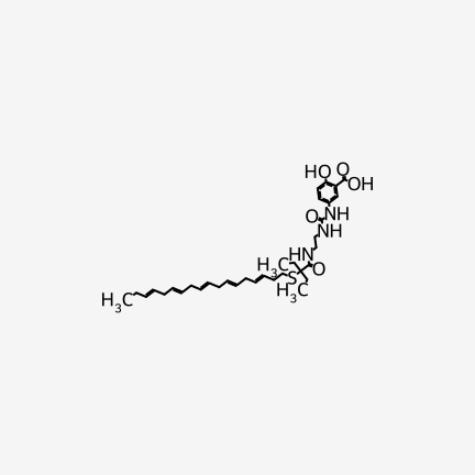 CCC=CCC=CCC=CCC=CCC=CCCSC(CC)(CC)C(=O)NCCNC(=O)Nc1ccc(O)c(C(=O)O)c1